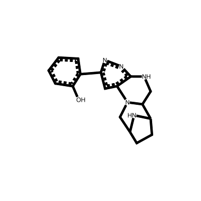 Oc1ccccc1-c1cc2c(nn1)NCC1C3CCC(CN21)N3